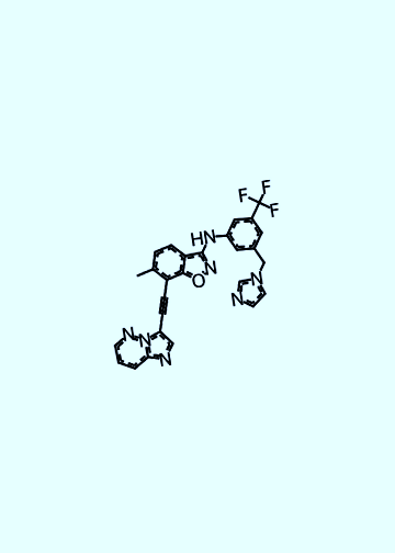 Cc1ccc2c(Nc3cc(Cn4ccnc4)cc(C(F)(F)F)c3)noc2c1C#Cc1cnc2cccnn12